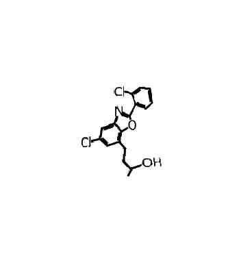 CC(O)CCc1cc(Cl)cc2nc(-c3ccccc3Cl)oc12